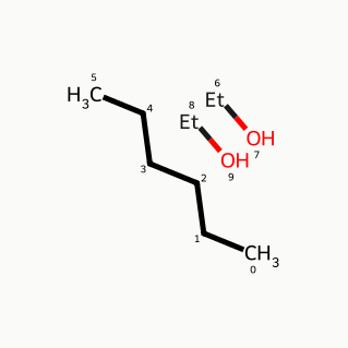 CCCCCC.CCO.CCO